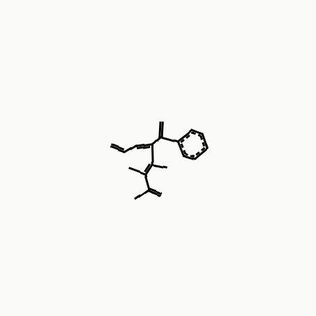 C=C/C=C(C(=C)c1ccccc1)\C(C)=C(/C)C(=C)C